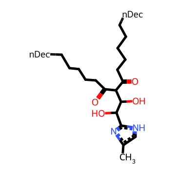 CCCCCCCCCCCCCCCC(=O)C(C(=O)CCCCCCCCCCCCCCC)C(O)C(O)c1nc(C)c[nH]1